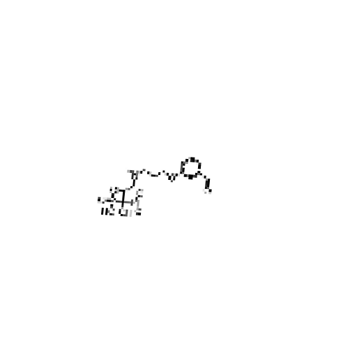 CN(CCCOc1cccc(C=O)c1)CCC(O)([PH](=O)O)P(=O)(O)O